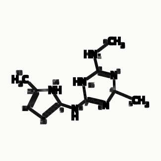 CNC1=NC(C)N=C(Nc2ccc(C)[nH]2)N1